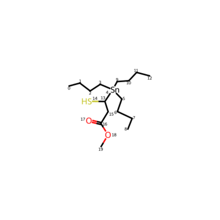 CCC[CH2][Sn]([CH2]CCC)([CH2]CCC)[CH](S)CC(=O)OC